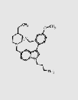 CCC1CCN(Cc2ccc3c(c2)c(-c2ccc(OC)cc2CN)cn3CCCN)CC1